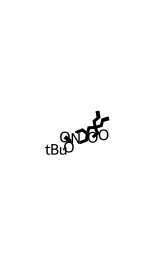 C=CCC1(CC=C)CC2(CCN(C(=O)OC(C)(C)C)CC2)OC1=O